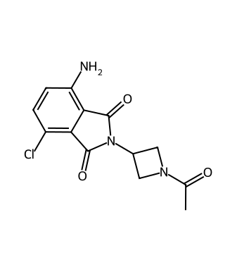 CC(=O)N1CC(N2C(=O)c3c(N)ccc(Cl)c3C2=O)C1